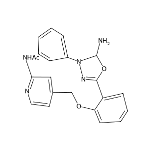 CC(=O)Nc1cc(COc2ccccc2C2=NN(c3ccccc3)C(N)O2)ccn1